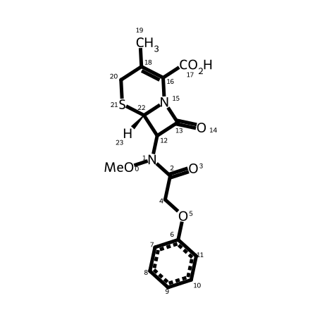 CON(C(=O)COc1ccccc1)C1C(=O)N2C(C(=O)O)=C(C)CS[C@@H]12